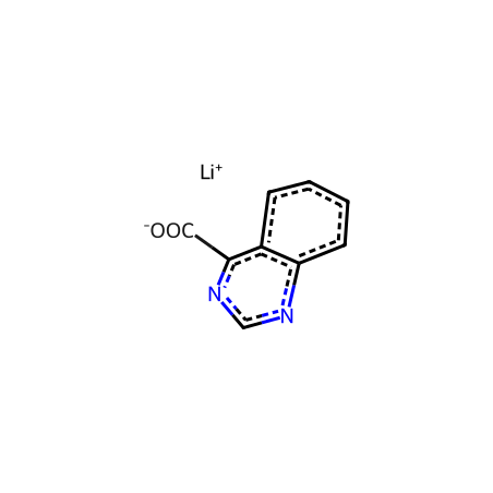 O=C([O-])c1ncnc2ccccc12.[Li+]